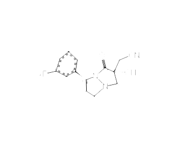 C[C@]1(CC#N)CN2CC[C@@H](c3cccc(F)c3)N2C1=O